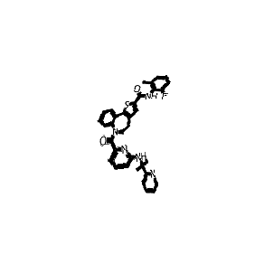 Cc1cccc(F)c1NC(=O)c1cc2c(s1)-c1ccccc1N(C(=O)c1cccc(NC(C)(C)c3ccccn3)n1)CC2